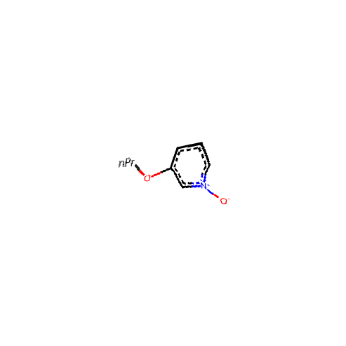 [CH2]CCOc1ccc[n+]([O-])c1